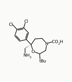 CC(C)(C)C1CN(C(=O)O)CC[C@](CN)(c2ccc(Cl)c(Cl)c2)O1